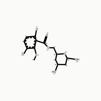 COc1c(Cl)ccc(Cl)c1C(=O)OCC1CC(O)CC(O)O1